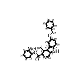 COCc1c(C(=O)Oc2ccccc2)ncc2[nH]c3ccc(OCc4ccccc4)cc3c12